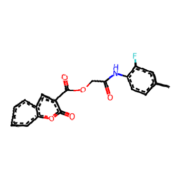 Cc1ccc(NC(=O)COC(=O)c2cc3ccccc3oc2=O)c(F)c1